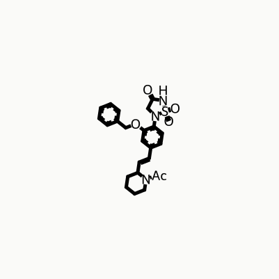 CC(=O)N1CCCCC1C=Cc1ccc(N2CC(=O)NS2(=O)=O)c(OCc2ccccc2)c1